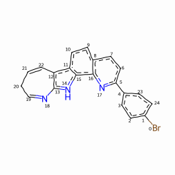 Brc1ccc(-c2ccc3ccc4c5c([nH]c4c3n2)N=CCC=C5)cc1